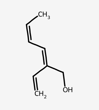 C=C/C(=C\C=C/C)CO